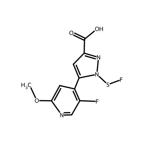 COc1cc(-c2cc(C(=O)O)nn2SF)c(F)cn1